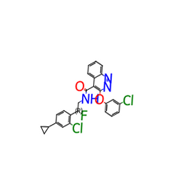 O=C(NC[C@H](F)c1ccc(C2CC2)cc1Cl)c1c(Oc2cccc(Cl)c2)nnc2ccccc12